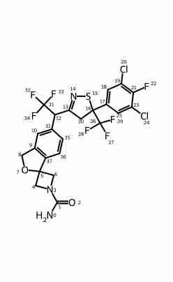 NC(=O)N1CC2(C1)OCc1cc(C(C3=NSC(c4cc(Cl)c(F)c(Cl)c4)(C(F)(F)F)C3)C(F)(F)F)ccc12